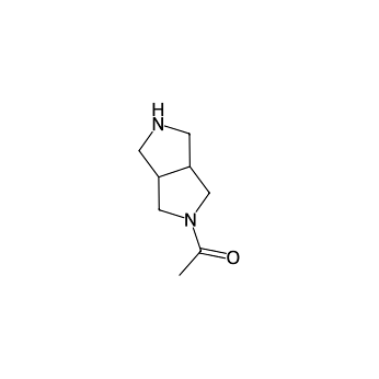 CC(=O)N1CC2CNCC2C1